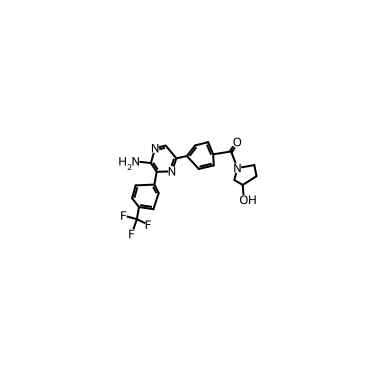 Nc1ncc(-c2ccc(C(=O)N3CCC(O)C3)cc2)nc1-c1ccc(C(F)(F)F)cc1